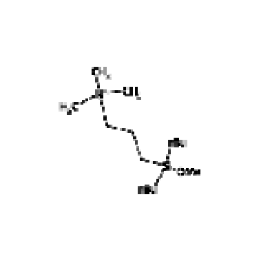 CCCC[Si](CCCC)(CCC[N+](C)(C)C)OC